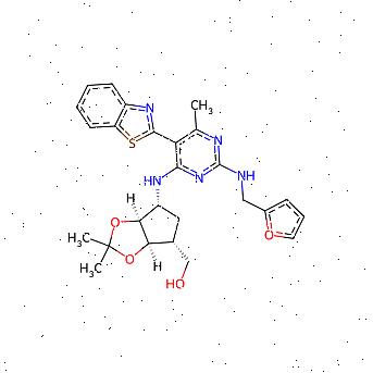 Cc1nc(NCc2ccco2)nc(N[C@@H]2C[C@H](CO)[C@H]3OC(C)(C)O[C@H]32)c1-c1nc2ccccc2s1